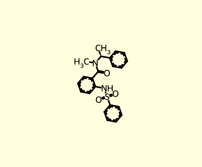 C[C@@H](c1ccccc1)N(C)C(=O)c1ccccc1NS(=O)(=O)c1ccccc1